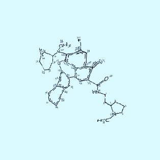 CN1CCCC1CCNC(=O)c1cn2c3c(c(N(C)C4CCCCNC4)c(F)cc3c1=O)Oc1cc3ccccc3cc1-2